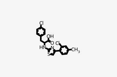 Cc1ccc(-c2csc(NC(Cc3ccc(Cl)cc3)C(=O)O)n2)c(Cl)c1